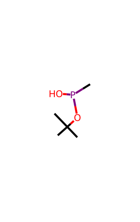 CP(O)OC(C)(C)C